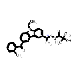 CCn1c2ccc(C(=O)c3ccccc3C)cc2c2cc(/C(C)=N/OC(=O)C(C)(C)O)ccc21